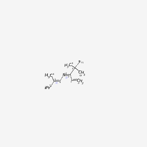 C=C/C(=N\C=C(/C)C(C)C)C(C)(C)F